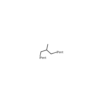 CCCC(C)CC(C)CC(C)CCC